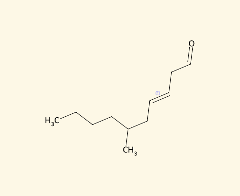 CCCCC(C)C/C=C/CC=O